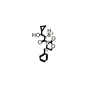 B[C@H](C(=O)N1C(=O)OC[C@@H]1Cc1ccccc1)[C@H](O)C1CC1